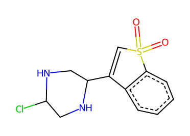 O=S1(=O)C=C(C2CNC(Cl)CN2)c2ccccc21